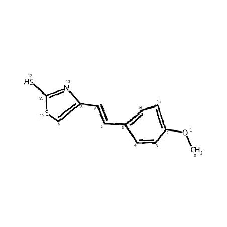 COc1ccc(/C=C/c2csc(S)n2)cc1